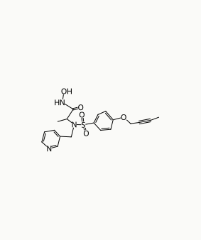 CC#CCOc1ccc(S(=O)(=O)N(Cc2cccnc2)C(C)C(=O)NO)cc1